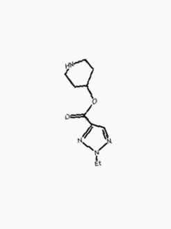 CCn1ncc(C(=O)OC2CCNCC2)n1